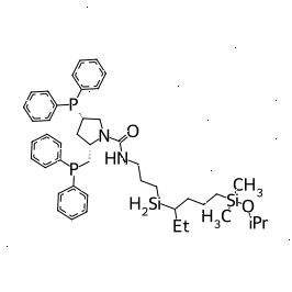 CCC(CCC[Si](C)(C)OC(C)C)[SiH2]CCCNC(=O)N1C[C@@H](P(c2ccccc2)c2ccccc2)C[C@H]1CP(c1ccccc1)c1ccccc1